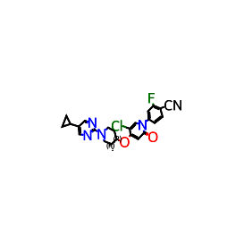 C[C@@H]1CN(c2ncc(C3CC3)cn2)CC[C@H]1Oc1cc(=O)n(-c2ccc(C#N)c(F)c2)cc1Cl